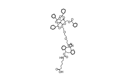 O=C(O)CCCCCNC(=O)OC1Cc2ccccc2-c2nnn(CCOCCOCCO[C@H]3OC(COC(=O)c4ccccc4)[C@@H](OC(=O)c4ccccc4)C(OC(=O)c4ccccc4)[C@H]3OC(=O)c3ccccc3)c2-c2ccccc21